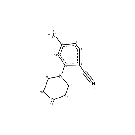 Cc1ccc(C#N)c(N2CCOCC2)c1